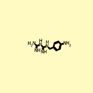 N=C(N)NC(=N)NCc1ccc(N)cc1